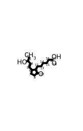 CCC(O)/C=C/C1CCC(=O)C1CCCCCC(=O)O